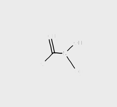 C=C(C)N(O)O